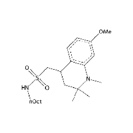 CCCCCCCCNS(=O)(=O)CC1CC(C)(C)N(C)c2cc(OC)ccc21